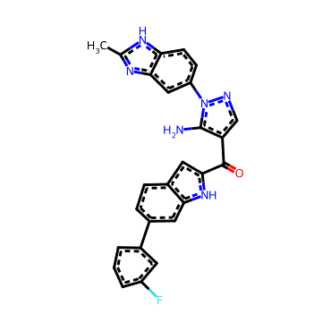 Cc1nc2cc(-n3ncc(C(=O)c4cc5ccc(-c6cccc(F)c6)cc5[nH]4)c3N)ccc2[nH]1